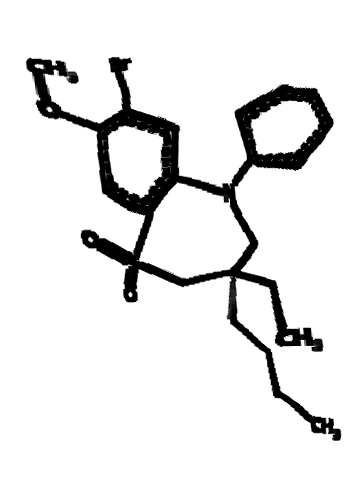 CCCC[C@@]1(CC)CN(c2ccccc2)c2cc(Br)c(OC)cc2S(=O)(=O)C1